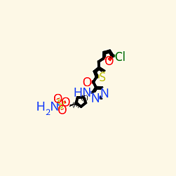 NS(=O)(=O)OC[C@@H]1CC[C@H](Nc2ncncc2C(=O)c2cc(Cc3ccc(Cl)o3)cs2)C1